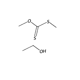 CCO.COC(=S)SC